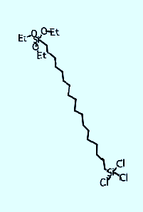 CCO[Si](CCCCCCCCCCCCCCCCCC[Si](Cl)(Cl)Cl)(OCC)OCC